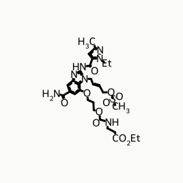 CCOC(=O)CCNC(=O)OCCCOc1cc(C(N)=O)cc2nc(NC(=O)c3cc(C)nn3CC)n(C/C=C/COS(C)(=O)=O)c12